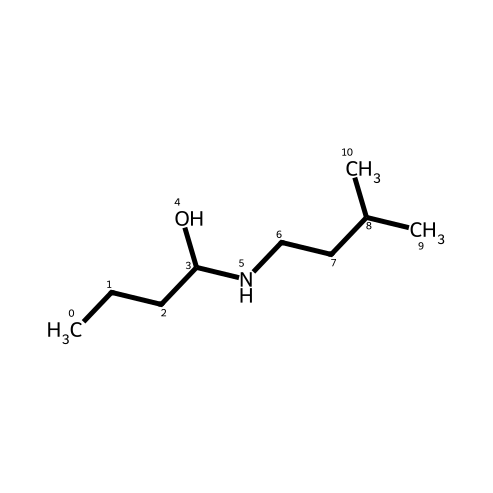 CCCC(O)NCCC(C)C